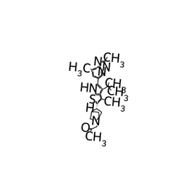 CC(=O)CN1C[C@@H]2CC1C[C@H]2c1sc2[nH]c(-c3cc(C)c4nc(C)nn4c3)c(C(C)C)c2c1C